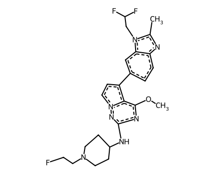 COc1nc(NC2CCN(CCF)CC2)nn2ccc(-c3ccc4nc(C)n(CC(F)F)c4c3)c12